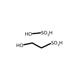 O=S(=O)(O)CCO.O=S(=O)(O)O